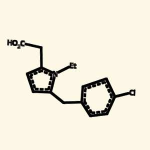 CCn1c(CC(=O)O)ccc1Cc1ccc(Cl)cc1